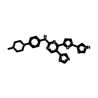 CN1CCN(c2ccc(Nc3ncc(-c4cncs4)c(-c4ccc(-c5c[nH]cn5)o4)n3)cc2)CC1